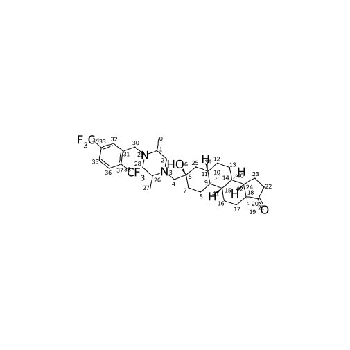 CC1CN(C[C@@]2(O)CC[C@@]3(C)[C@@H](CC[C@@H]4[C@@H]3CC[C@]3(C)C(=O)CC[C@@H]43)C2)C(C)CN1Cc1cc(C(F)(F)F)ccc1C(F)(F)F